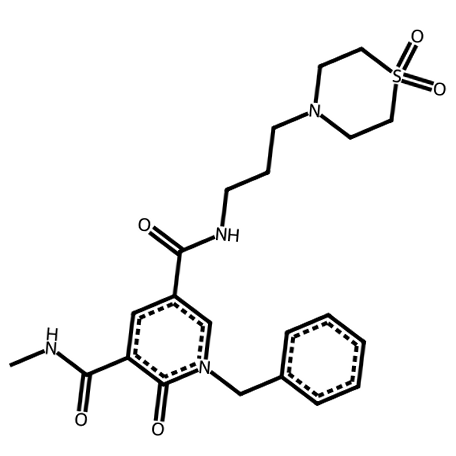 CNC(=O)c1cc(C(=O)NCCCN2CCS(=O)(=O)CC2)cn(Cc2ccccc2)c1=O